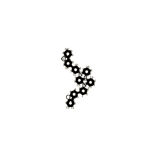 c1cc(-c2ccc3oc4ccccc4c3c2)cc(N2c3ccccc3B3c4ccccc4N(c4ccc(-c5ccc6oc7ccccc7c6c5)cc4)c4cccc2c43)c1